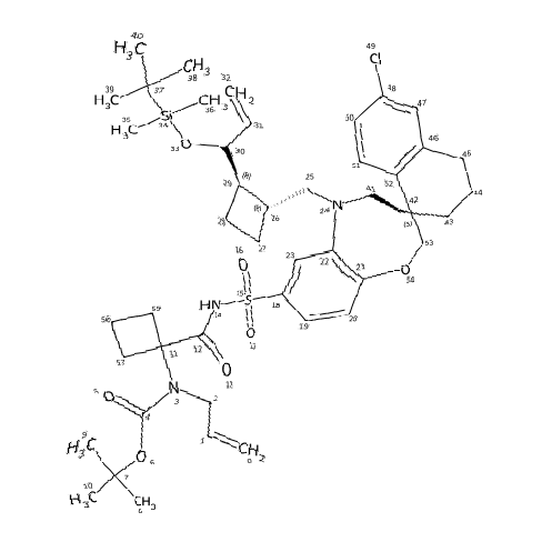 C=CCN(C(=O)OC(C)(C)C)C1(C(=O)NS(=O)(=O)c2ccc3c(c2)N(C[C@@H]2CC[C@H]2C(C=C)O[Si](C)(C)C(C)(C)C)C[C@@]2(CCCc4cc(Cl)ccc42)CO3)CCC1